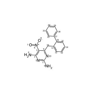 Nc1nc(N)c([N+](=O)[O-])c(Cc2ccccc2-c2ccccc2)n1